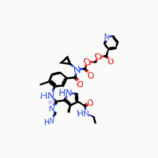 CCNC(=O)c1c[nH]c(/C(=N\C=N)Nc2cc(C(=O)N(C(=O)OCOC(=O)c3cccnc3)C3CC3)ccc2C)c1C